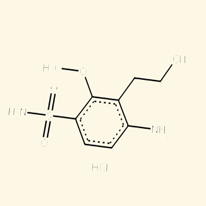 CCCc1c(N)ccc(S(N)(=O)=O)c1OC.Cl